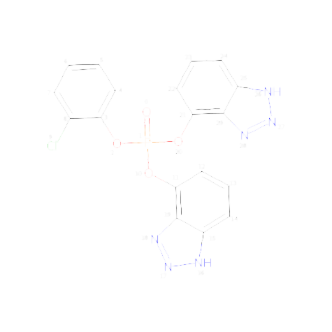 O=P(Oc1ccccc1Cl)(Oc1cccc2[nH]nnc12)Oc1cccc2[nH]nnc12